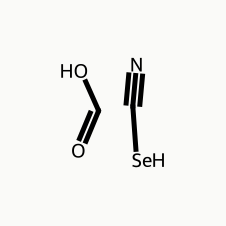 N#C[SeH].O=CO